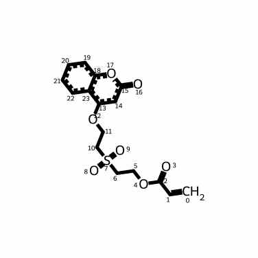 C=CC(=O)OCCS(=O)(=O)CCOc1cc(=O)oc2ccccc12